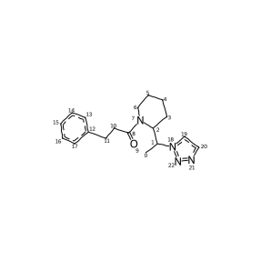 CC(C1CCCCN1C(=O)CCc1ccccc1)n1ccnn1